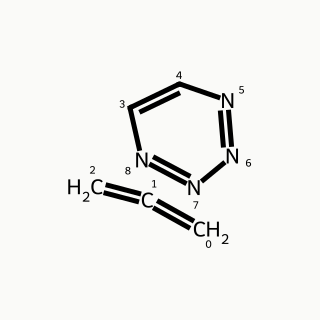 C=C=C.c1cnnnn1